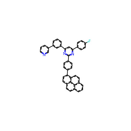 Fc1ccc(-c2cc(-c3cccc(-c4cccnc4)c3)nc(-c3ccc(-c4ccc5ccc6cccc7ccc4c5c67)cc3)n2)cc1